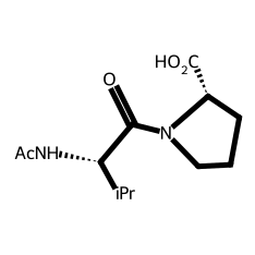 CC(=O)N[C@H](C(=O)N1CCC[C@H]1C(=O)O)C(C)C